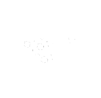 Nc1c(S(=O)(=O)O)cc(Nc2cccc(S(=O)(=O)CCSCCCS(=O)(=O)O)c2)c2c1C(=O)c1ccccc1C2=O